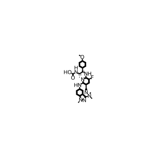 COc1ccc([C@@H](Nc2nc(Nc3ccc4c(c3)c(N(C)C)nn4C)c(C#N)cc2F)[C@H](C)NC(=O)O)cc1